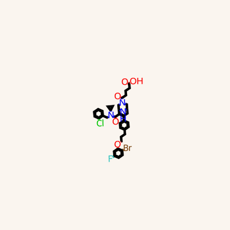 O=C(O)CCCC(=O)N1CC2CC(c3ccc(CCCOc4cc(F)ccc4Br)cc3)=C(C(=O)N(Cc3ccccc3Cl)C3CC3)C(C1)N2